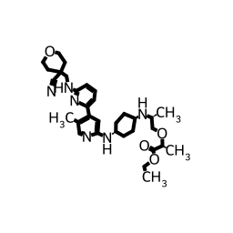 CCOC(=O)[C@@H](C)OC[C@@H](C)N[C@H]1CC[C@H](Nc2cc(-c3cccc(NCC4(C#N)CCOCC4)n3)c(C)cn2)CC1